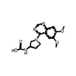 COc1cc2ncnc(N3CCC(NC(=O)O)C3)c2cc1OC